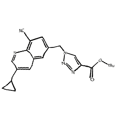 CC(C)(C)OC(=O)c1cn(Cc2cc(C#N)c3ncc(C4CC4)cc3c2)nn1